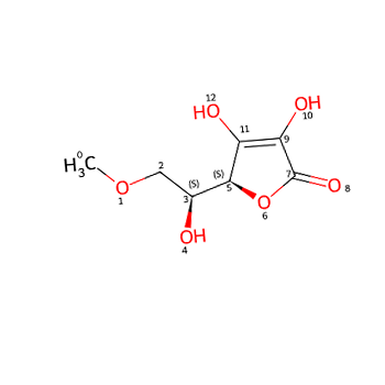 COC[C@H](O)[C@@H]1OC(=O)C(O)=C1O